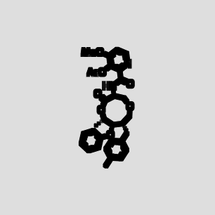 COc1ccnc(C(=O)N[C@H]2COC[C@H](Cc3ccc(C)cc3)[C@@H](Oc3ccccc3)[C@H](C)OC2=O)c1OC(C)=O